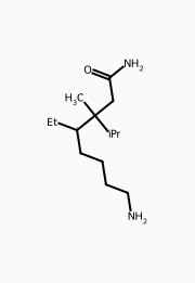 CC[C](CCCCN)C(C)(CC(N)=O)C(C)C